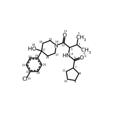 CC(C)C(NC(=O)C1CCCC1)C(=O)N1CCC(O)(c2ccc(Cl)cc2)CC1